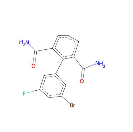 NC(=O)c1cccc(C(N)=O)c1-c1cc(F)cc(Br)c1